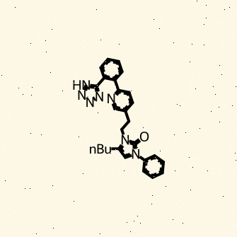 CCCCc1cn(-c2ccccc2)c(=O)n1CCc1ccc(-c2ccccc2-c2nnn[nH]2)nc1